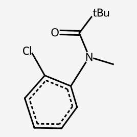 CN(C(=O)C(C)(C)C)c1ccccc1Cl